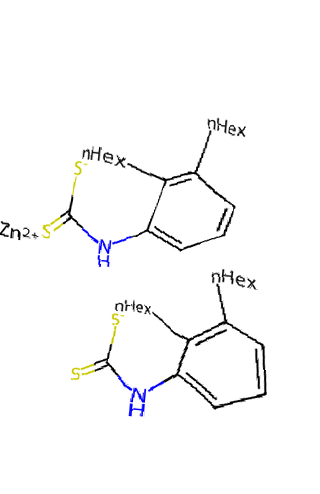 CCCCCCc1cccc(NC(=S)[S-])c1CCCCCC.CCCCCCc1cccc(NC(=S)[S-])c1CCCCCC.[Zn+2]